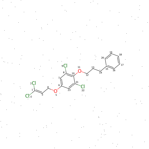 ClC(Cl)=CCOc1cc(Cl)c(OCCCc2ccccc2)c(Cl)c1